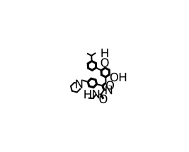 CCNC(=O)c1noc(-c2cc(-c3cccc(C(C)C)c3)c(O)cc2O)c1-c1ccc(CN2CCCCC2)cc1